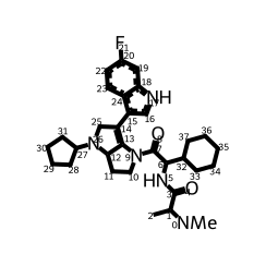 CNC(C)C(=O)NC(C(=O)N1CCC2C1=C(c1c[nH]c3cc(F)ccc13)CN2C1CCCC1)C1CCCCC1